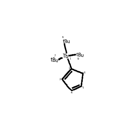 C[C](C)(C)[Tb]([C]1=CC=CC1)([C](C)(C)C)[C](C)(C)C